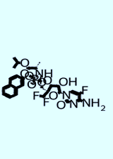 CC(C)OC(=O)[C@H](C)N[P@](=O)(OC[C@@]1(C(F)F)O[C@@H](n2cc(F)c(N)nc2=O)[C@H](O)[C@@H]1O)Oc1ccc2ccccc2c1